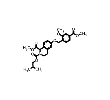 COC(=O)c1ccc(COc2ccc3c(c2)CCN(C(=O)OCC(C)C)C3C(=O)OC)c(OC)c1